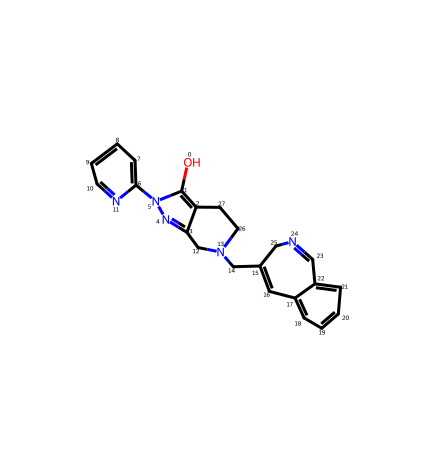 Oc1c2c(nn1-c1ccccn1)CN(CC1=Cc3ccccc3C=NC1)CC2